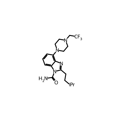 CC(C)CCc1nc2c(N3CCN(CC(F)(F)F)CC3)cccc2n1C(N)=O